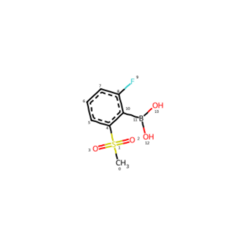 CS(=O)(=O)c1cccc(F)c1B(O)O